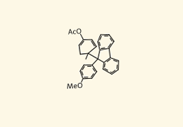 COc1ccc(C2(C3(C)C=CC(OC(C)=O)=CC3)c3ccccc3-c3ccccc32)cc1